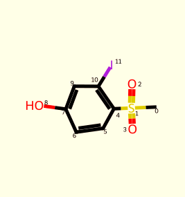 CS(=O)(=O)c1ccc(O)cc1I